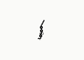 CCCCCCCc1ccc(-c2ccc(C(=O)Oc3ccc(C[C@@H](C)CC)cc3)cc2)cc1